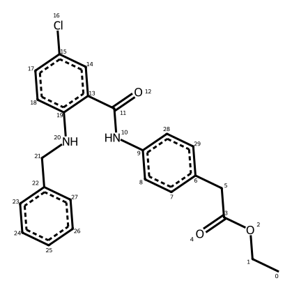 CCOC(=O)Cc1ccc(NC(=O)c2cc(Cl)ccc2NCc2ccccc2)cc1